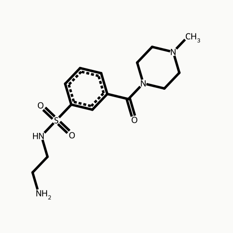 CN1CCN(C(=O)c2cccc(S(=O)(=O)NCCN)c2)CC1